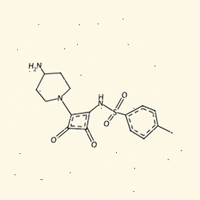 Cc1ccc(S(=O)(=O)Nc2c(N3CCC(N)CC3)c(=O)c2=O)cc1